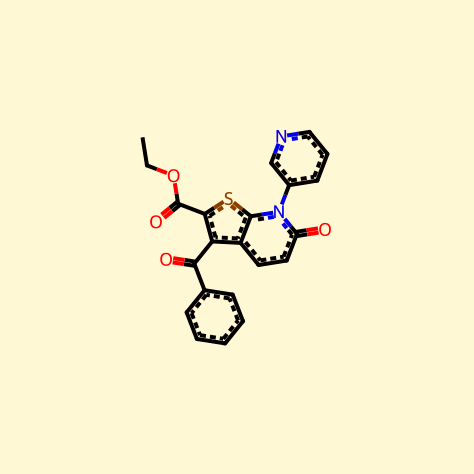 CCOC(=O)c1sc2c(ccc(=O)n2-c2cccnc2)c1C(=O)c1ccccc1